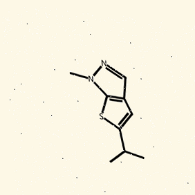 CC(C)c1cc2cnn(C)c2s1